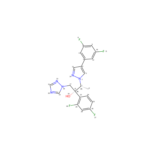 C[C@@H](n1cc(-c2cc(F)cc(F)c2)cn1)[C@](O)(Cn1cncn1)c1ccc(F)cc1F